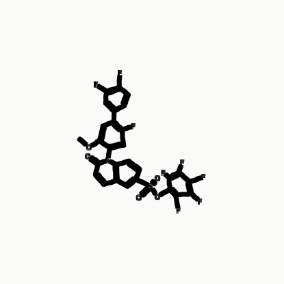 COc1cc(-c2ccc(F)c(F)c2)c(F)cc1-n1c(=O)ccc2cc(S(=O)(=O)Oc3c(F)c(F)c(F)c(F)c3F)ccc21